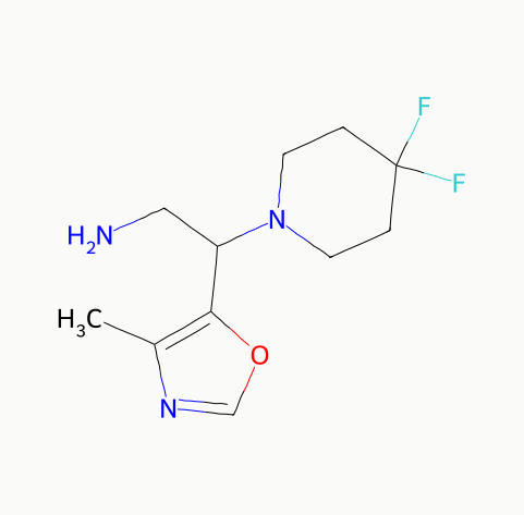 Cc1ncoc1C(CN)N1CCC(F)(F)CC1